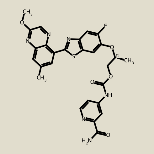 COc1cnc2c(-c3nc4cc(F)c(O[C@@H](C)COC(=O)Nc5ccnc(C(N)=O)c5)cc4s3)cc(C)cc2n1